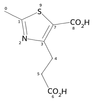 Cc1nc(CCC(=O)O)c(C(=O)O)s1